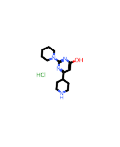 Cl.Oc1cc(C2CCNCC2)nc(N2CCCCC2)n1